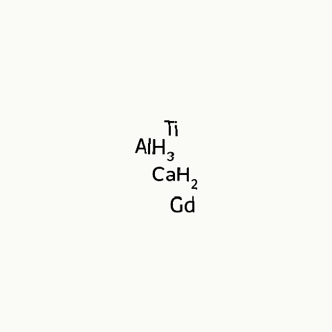 [AlH3].[CaH2].[Gd].[Ti]